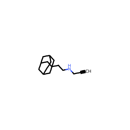 C#CCNCCC12CC3CC(CC(C3)C1)C2